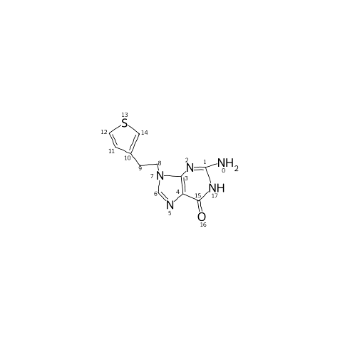 Nc1nc2c(ncn2CCc2ccsc2)c(=O)[nH]1